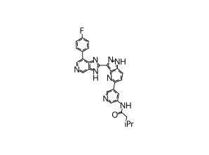 CC(C)CC(=O)Nc1cncc(-c2ccc3[nH]nc(-c4nc5c(-c6ccc(F)cc6)cncc5[nH]4)c3n2)c1